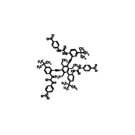 CCc1c(C#Cc2cc(C(C)(C)C)ccc2NC(=O)Nc2ccc([N+](=O)[O-])cc2)c(CC)c(-c2cc(C(C)(C)C)ccc2NC(=O)Nc2ccc([N+](=O)[O-])cc2)c(CC)c1C#Cc1cc(C(C)(C)C)ccc1NC(=O)Nc1ccc([N+](=O)[O-])cc1